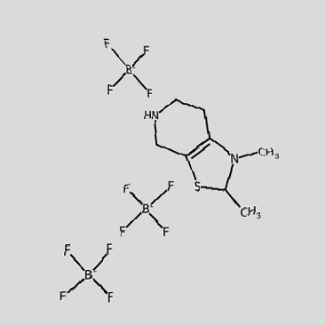 CC1SC2=C(CCNC2)N1C.F[B-](F)(F)F.F[B-](F)(F)F.F[B-](F)(F)F